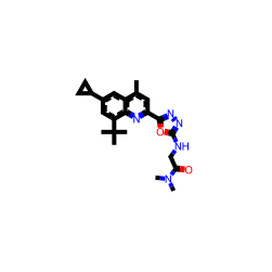 Cc1cc(-c2nnc(NCC(=O)N(C)C)o2)nc2c(C(C)(C)C)cc(C3CC3)cc12